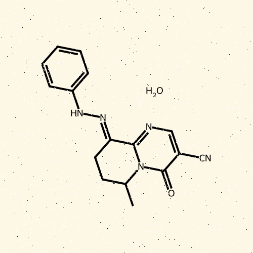 CC1CCC(=NNc2ccccc2)c2ncc(C#N)c(=O)n21.O